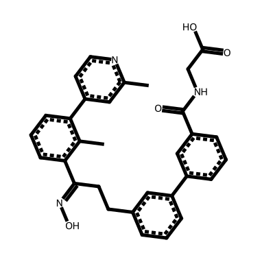 Cc1cc(-c2cccc(/C(CCc3cccc(-c4cccc(C(=O)NCC(=O)O)c4)c3)=N/O)c2C)ccn1